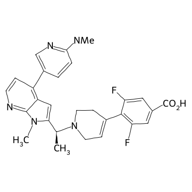 CNc1ccc(-c2ccnc3c2cc([C@H](C)N2CC=C(c4c(F)cc(C(=O)O)cc4F)CC2)n3C)cn1